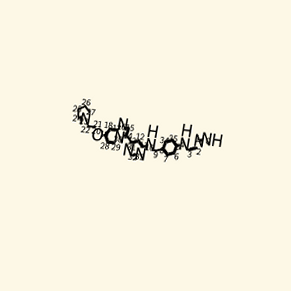 N=N/C=C\Nc1ccc(CNc2cc(-c3cnc4cc(OCCN5CCCC5)ccn34)ncn2)cc1